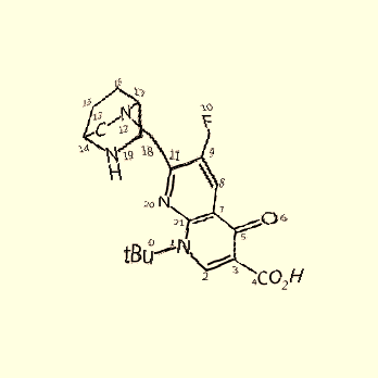 CC(C)(C)n1cc(C(=O)O)c(=O)c2cc(F)c(N3CC4CCC3CN4)nc21